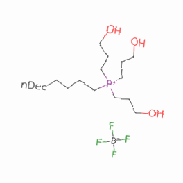 CCCCCCCCCCCCCC[P+](CCCO)(CCCO)CCCO.F[B-](F)(F)F